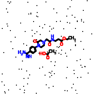 CC(=O)O.CCOC(=O)CCNC(=O)CN1CCN(c2ccc(C(=N)N)cc2)C(=O)C1